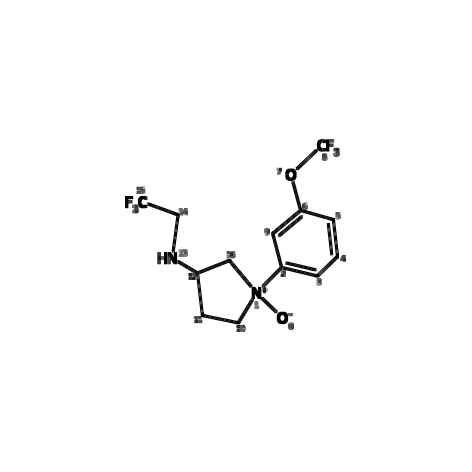 [O-][N+]1(c2cccc(OC(F)(F)F)c2)CCC(NCC(F)(F)F)C1